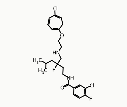 CC(C)CC(F)(CCNC(=O)c1ccc(F)c(Cl)c1)CNCCOC1=CC=CC(Cl)=CC1